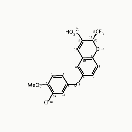 COc1ccc(Oc2ccc3c(c2)C=C(C(=O)O)[C@@H](C(F)(F)F)O3)cc1Cl